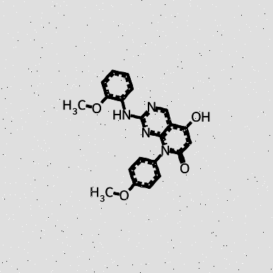 COc1ccc(-n2c(=O)cc(O)c3cnc(Nc4ccccc4OC)nc32)cc1